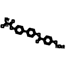 CCCCCCCCOc1ccc(C(=O)Oc2ccc(-c3ccc(OC(=O)[C@@H](Cl)C(C)C)cc3)cc2)cc1